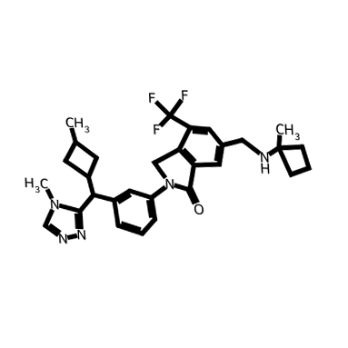 CC1CC(C(c2cccc(N3Cc4c(cc(CNC5(C)CCC5)cc4C(F)(F)F)C3=O)c2)c2nncn2C)C1